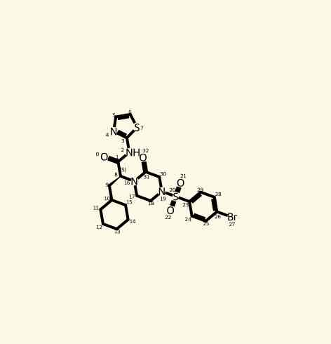 O=C(Nc1nccs1)[C@H](CC1CCCCC1)N1CCN(S(=O)(=O)c2ccc(Br)cc2)CC1=O